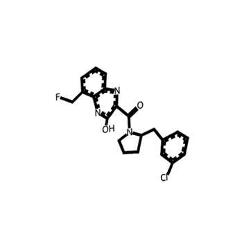 O=C(c1nc2cccc(CF)c2nc1O)N1CCCC1Cc1cccc(Cl)c1